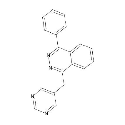 c1ccc(-c2nnc(Cc3cncnc3)c3ccccc23)cc1